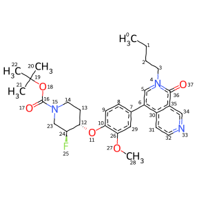 CCCCn1cc(-c2ccc(O[C@H]3CCN(C(=O)OC(C)(C)C)C[C@@H]3F)c(OC)c2)c2ccncc2c1=O